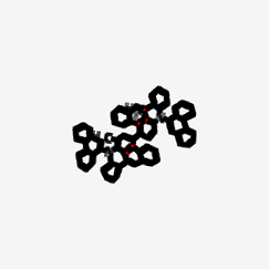 Cc1cc(-c2ccc(N(c3ccccc3-c3ccc4ccccc4c3)c3cc4ccccc4c4ccccc34)c(C)c2)ccc1N(c1ccccc1-c1ccc2ccccc2c1)c1cc2ccccc2c2ccccc12